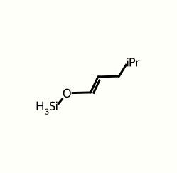 CC(C)CC=CO[SiH3]